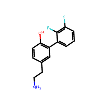 NCCc1ccc(O)c(-c2cccc(F)c2F)c1